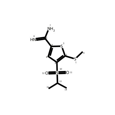 CSc1sc(C(=N)N)cc1S(=O)(=O)C(C)C